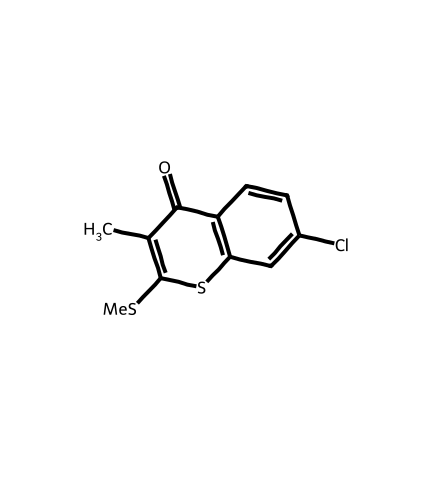 CSc1sc2cc(Cl)ccc2c(=O)c1C